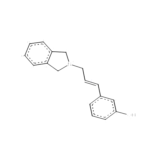 Oc1cccc(/C=C/CN2Cc3ccccc3C2)c1